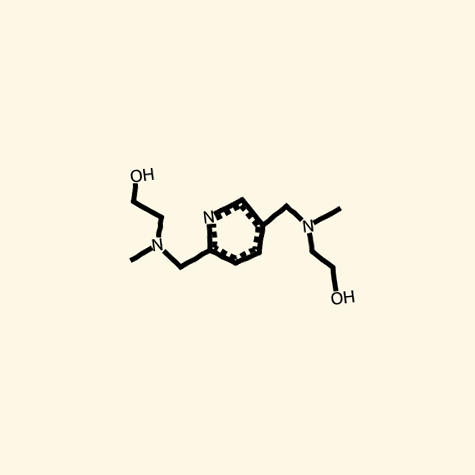 CN(CCO)Cc1ccc(CN(C)CCO)nc1